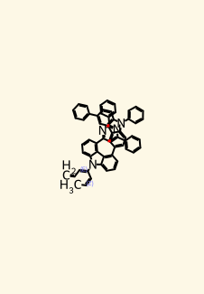 C=C/C=C(\C=C/C)n1c2cccc(-c3ccc4c(c3)c3cc(-c5ccccc5)ccc3n4-c3ccccc3)c2c2c(-c3cc(-c4ccccc4)nc(-c4ccccc4)n3)cccc21